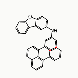 c1ccc(-c2cccc3cccc(-c4cccc(Nc5ccc6oc7ccccc7c6c5)c4)c23)cc1